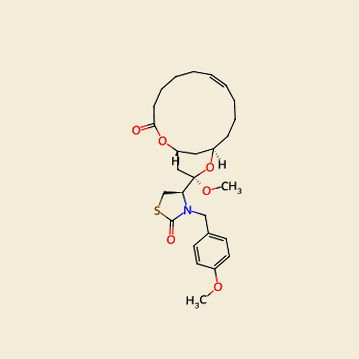 COc1ccc(CN2C(=O)SC[C@H]2[C@@]2(OC)C[C@H]3C[C@@H](CCCC=CCCCCC(=O)O3)O2)cc1